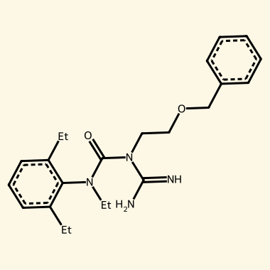 CCc1cccc(CC)c1N(CC)C(=O)N(CCOCc1ccccc1)C(=N)N